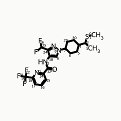 CSC(C)C1CCC(n2cc(NC(=O)c3cccc(C(F)(F)F)n3)c(C(F)F)n2)CC1